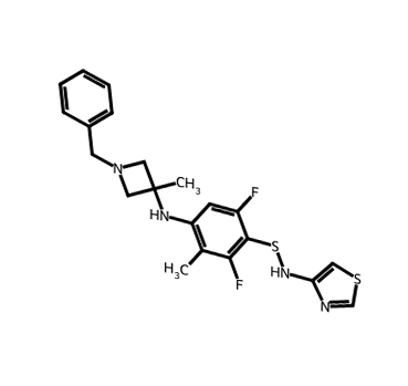 Cc1c(NC2(C)CN(Cc3ccccc3)C2)cc(F)c(SNc2cscn2)c1F